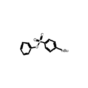 CCCCc1ccc(S(=O)(=O)Oc2ccccc2)cc1